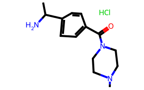 CC(N)c1ccc(C(=O)N2CCN(C)CC2)cc1.Cl